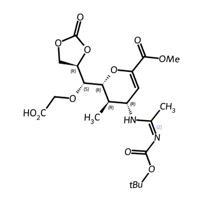 COC(=O)C1=C[C@H](N/C(C)=N\C(=O)OC(C)(C)C)[C@@H](C)[C@H]([C@H](OCC(=O)O)[C@H]2COC(=O)O2)O1